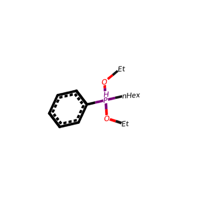 CCCCCC[PH](OCC)(OCC)c1ccccc1